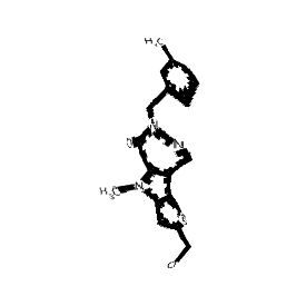 Cc1cccc(Cn2ncc3c4sc(CCl)cc4n(C)c3c2=O)c1